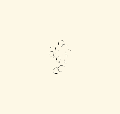 FC1(F)CCN(Cc2cncc(-c3ccc4[nH]nc(-c5cc6c(-c7ccncc7)nccc6[nH]5)c4c3)c2)C1